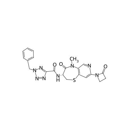 CN1C(=O)[C@@H](NC(=O)c2nnn(Cc3ccccc3)n2)CSc2cc(N3CCC3=O)ncc21